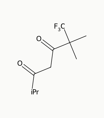 CC(C)C(=O)CC(=O)C(C)(C)C(F)(F)F